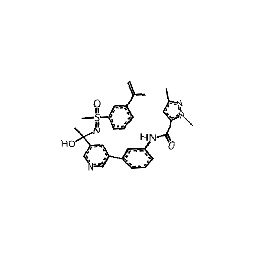 C=C(C)c1cccc(S(C)(=O)=NC(C)(O)c2cncc(-c3cccc(NC(=O)c4cc(C)nn4C)c3)c2)c1